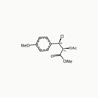 COC(=O)[C@H](OC(C)=O)[C@H](Cl)c1ccc(OC)cc1